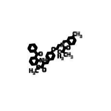 COC(=O)C(Cc1ccc(OCCN(Cc2cccc(C)c2)C(=O)C(C)C)cc1)Nc1ccccc1C(=O)c1ccccc1